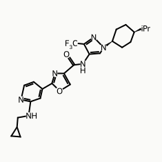 CC(C)[C@H]1CC[C@@H](n2cc(NC(=O)c3coc(-c4ccnc(NCC5CC5)c4)n3)c(C(F)(F)F)n2)CC1